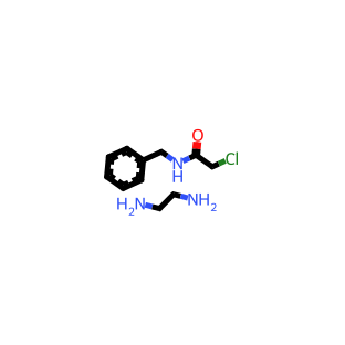 NCCN.O=C(CCl)NCc1ccccc1